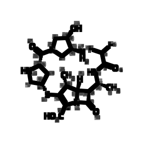 C[C@@H](NC(=O)C(F)F)[C@H]1C(=O)N2C(C(=O)O)=C(S[C@@H]3CN[C@H](C(=O)N4C[C@@H](O)[C@@H](N)C4)C3)[C@H](C)[C@H]12